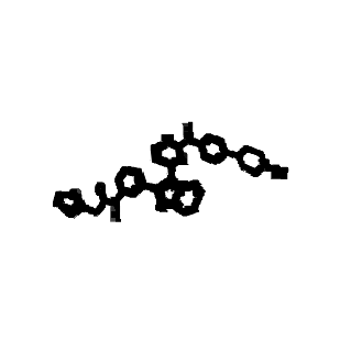 CC(=O)N1CCC(c2ccc(Nc3nccc(-c4c(-c5cccc(NC(=O)Cc6cccs6)c5)nc5ccccn45)n3)cc2)CC1